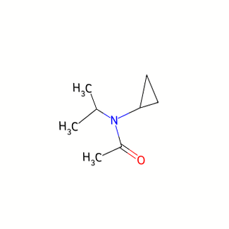 CC(=O)N(C(C)C)C1CC1